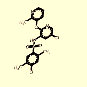 Cc1cc(S(=O)(=O)Nc2cc(Cl)cnc2Oc2cccnc2C)c(C)cc1Cl